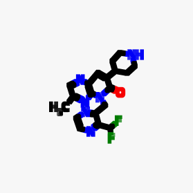 Cc1cnc2cc(C3CCNCC3)c(=O)n(Cc3nccnc3C(F)F)c2n1